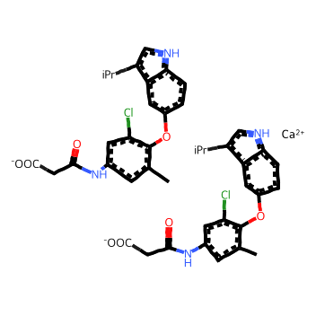 Cc1cc(NC(=O)CC(=O)[O-])cc(Cl)c1Oc1ccc2[nH]cc(C(C)C)c2c1.Cc1cc(NC(=O)CC(=O)[O-])cc(Cl)c1Oc1ccc2[nH]cc(C(C)C)c2c1.[Ca+2]